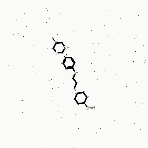 CCCCCCC[C@H]1CC[C@H](CCCOc2ccc([C@H]3OC[C@H](C)CO3)cc2)CC1